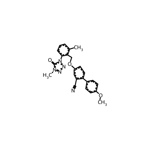 COc1ccc(-c2ccc(OCc3c(C)cccc3-n3nnn(C)c3=O)cc2C#N)cc1